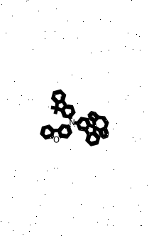 CC1(C)c2ccccc2-c2ccc(N(c3ccc4c(c3)-c3ccccc3C43c4ccccc4C=Cc4ccccc43)c3ccc4oc5ccccc5c4c3)cc21